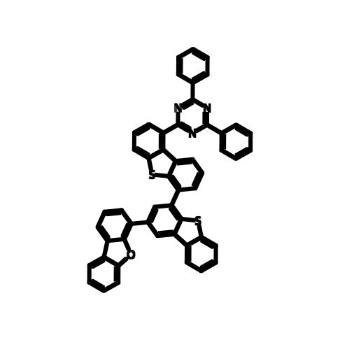 c1ccc(-c2nc(-c3ccccc3)nc(-c3cccc4sc5c(-c6cc(-c7cccc8c7oc7ccccc78)cc7c6sc6ccccc67)cccc5c34)n2)cc1